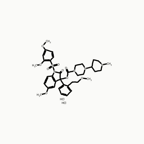 COCCc1ccccc1C1(OC(=O)N2CCN(C3CCN(C)CC3)CC2)C(=O)N(S(=O)(=O)c2ccc(OC)cc2OC)c2ccc(OC)cc21.Cl.Cl